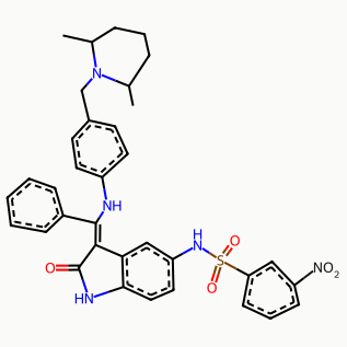 CC1CCCC(C)N1Cc1ccc(NC(=C2C(=O)Nc3ccc(NS(=O)(=O)c4cccc([N+](=O)[O-])c4)cc32)c2ccccc2)cc1